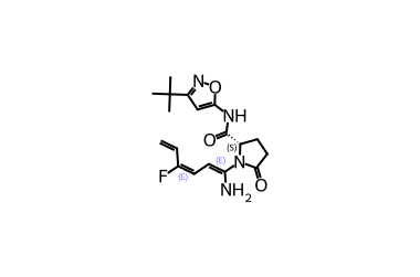 C=C/C(F)=C\C=C(/N)N1C(=O)CC[C@H]1C(=O)Nc1cc(C(C)(C)C)no1